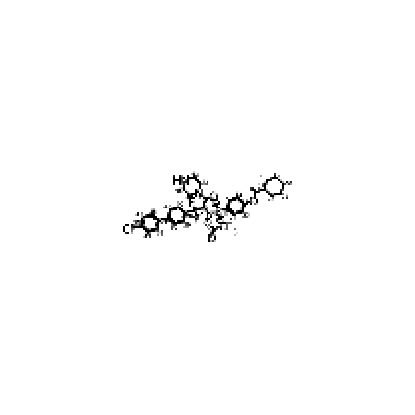 O=C([C@@H](N(OC(=O)C(F)(F)F)S(=O)(=O)c1ccc(OCC2CCCCC2)cc1)C(F)(F)c1ccc(-c2ccc(Cl)cc2)cc1)N1CCNCC1